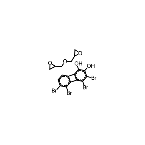 C(OCC1CO1)C1CO1.Oc1c(O)c2c(c(Br)c1Br)-c1c-2ccc(Br)c1Br